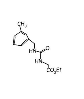 CCOC(=O)CNC(=O)NCc1cccc(C)c1